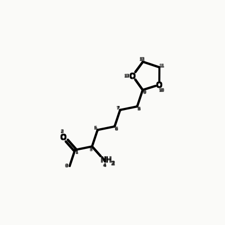 CC(=O)C(N)CCCCC1OCCO1